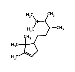 CC1=CCC(CCC(C)C(C)N(C)C)C1(C)C